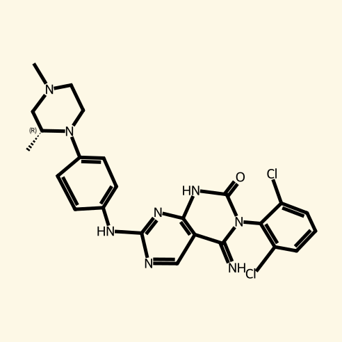 C[C@@H]1CN(C)CCN1c1ccc(Nc2ncc3c(=N)n(-c4c(Cl)cccc4Cl)c(=O)[nH]c3n2)cc1